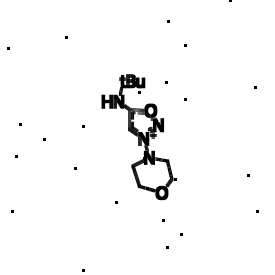 CC(C)(C)Nc1c[n+](N2CCOCC2)no1